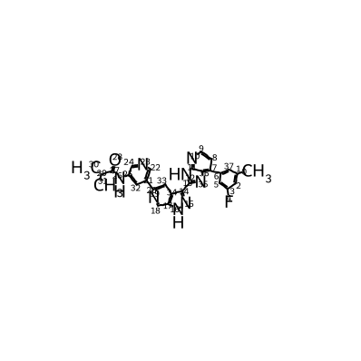 Cc1cc(F)cc(-c2ccnc3[nH]c(-c4n[nH]c5cnc(-c6cncc(NC(=O)C(C)C)c6)cc45)nc23)c1